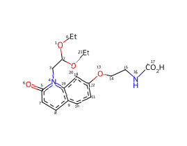 CCOC(Cn1c(=O)ccc2ccc(OCCNC(=O)O)cc21)OCC